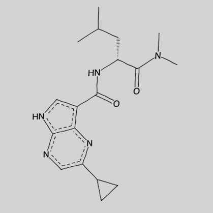 CC(C)C[C@@H](NC(=O)c1c[nH]c2ncc(C3CC3)nc12)C(=O)N(C)C